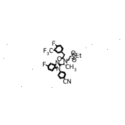 CCS(=O)(=O)CCN(C(=O)Cc1ccc(F)c(C(F)(F)F)c1)[C@H](C)c1nc2cc(F)ccc2n1-c1ccc(C#N)cc1